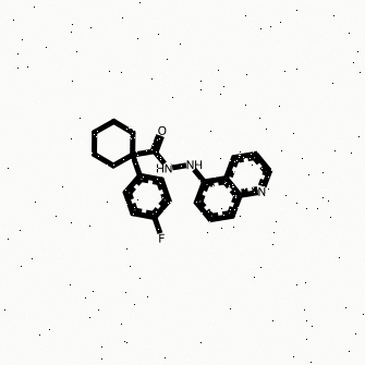 O=C(NNc1cccc2ncccc12)C1(c2ccc(F)cc2)CCCCC1